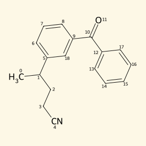 CC(CCC#N)c1cccc(C(=O)c2ccccc2)c1